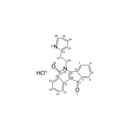 Cl.O=C1c2ccccc2-c2c1c1ccccc1c(=O)n2CCc1ccccn1